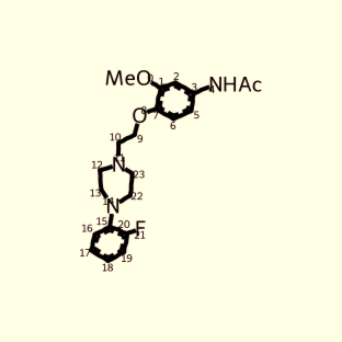 COc1cc(NC(C)=O)ccc1OCCN1CCN(c2ccccc2F)CC1